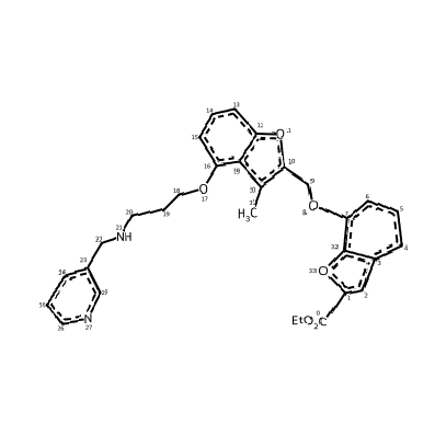 CCOC(=O)c1cc2cccc(OCc3oc4cccc(OCCCNCc5cccnc5)c4c3C)c2o1